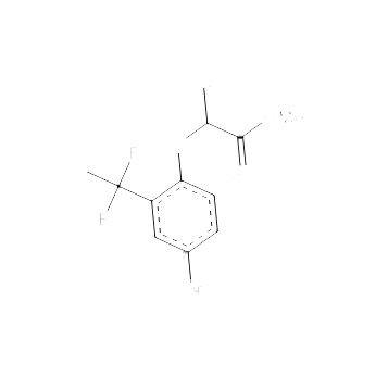 COC(=O)C(C)Oc1ccc(Br)cc1C(C)(F)F